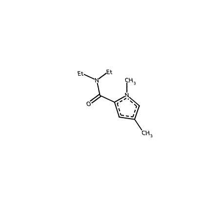 CCN(CC)C(=O)c1cc(C)cn1C